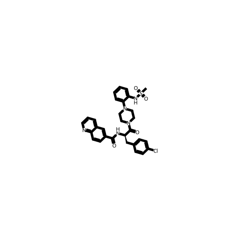 CS(=O)(=O)Nc1ccccc1N1CCN(C(=O)[C@@H](Cc2ccc(Cl)cc2)NC(=O)c2ccc3ncccc3c2)CC1